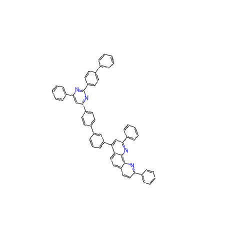 c1ccc(-c2ccc(-c3nc(-c4ccccc4)cc(-c4ccc(-c5cccc(-c6cc(-c7ccccc7)nc7c6ccc6ccc(-c8ccccc8)nc67)c5)cc4)n3)cc2)cc1